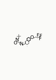 C[C@H]1Cc2cc(OCCCC(F)(F)F)ccc2C=C1CN1CC(C(=O)N(C)CC(C)(C)C)C1